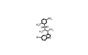 C=[N+](c1cnc2ccc(Br)cn12)N(C)S(=O)(=O)c1cc([N+](=O)[O-])ccc1C